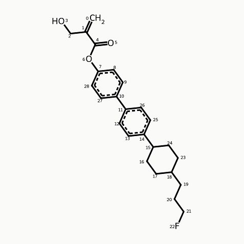 C=C(CO)C(=O)Oc1ccc(-c2ccc(C3CCC(CCCF)CC3)cc2)cc1